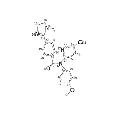 COc1c[c]c(N(C(=O)c2ccc(C3=NCCN3C)cc2)c2ccc(Cl)cn2)cc1